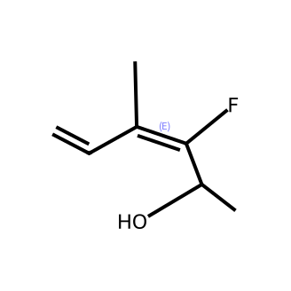 C=C/C(C)=C(/F)C(C)O